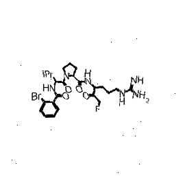 CC(C)C(NC(=O)c1ccccc1Br)C(=O)N1CCC[C@H]1C(=O)NC(CCCNC(=N)N)C(=O)CF